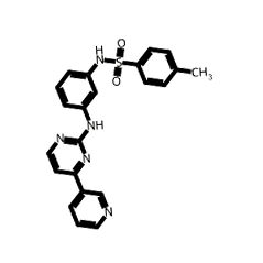 Cc1ccc(S(=O)(=O)Nc2cccc(Nc3nccc(-c4cccnc4)n3)c2)cc1